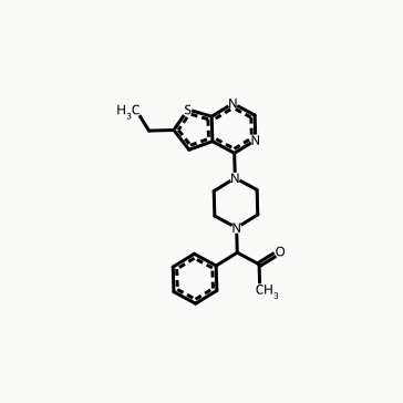 CCc1cc2c(N3CCN(C(C(C)=O)c4ccccc4)CC3)ncnc2s1